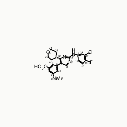 CNc1cc(C(=O)O)cc(-c2cnc(Nc3ccc(F)c(Cl)c3)nc2N2CCOCC2)c1